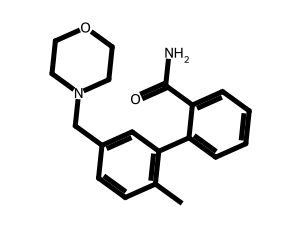 Cc1ccc(CN2CCOCC2)cc1-c1ccccc1C(N)=O